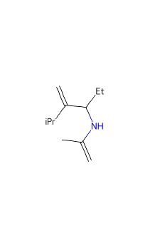 C=C(C)NC(CC)C(=C)C(C)C